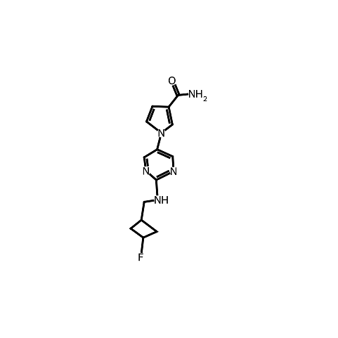 NC(=O)c1ccn(-c2cnc(NCC3CC(F)C3)nc2)c1